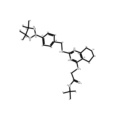 CC(C)(C)OC(=O)COc1nc(SCc2ccc(B3OC(C)(C)C(C)(C)O3)cc2)nc2c1CCCC2